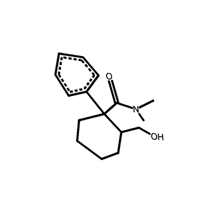 CN(C)C(=O)C1(c2ccccc2)CCCCC1CO